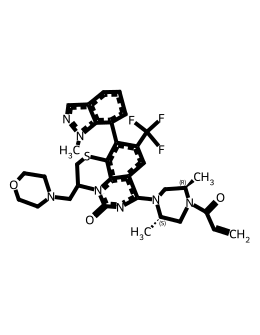 C=CC(=O)N1C[C@H](C)N(c2nc(=O)n3c4c(c(-c5cccc6cnn(C)c56)c(C(F)(F)F)cc24)SCC3CN2CCOCC2)C[C@H]1C